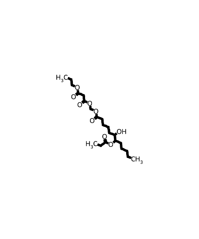 CCCCCC(OC(=O)CC)C(O)CCCCC(=O)OCOC(=O)CC(=O)OCCC